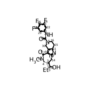 CC[C@H](O)[C@@H]1CN(C)C(=O)c2c3c(nn2C1)CCN(C(=O)Nc1cc(F)c(F)c(F)c1)C3